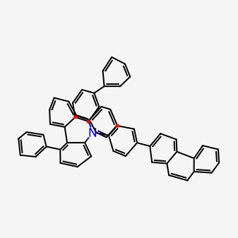 c1ccc(-c2cccc(N(c3ccc(-c4ccc5c(ccc6ccccc65)c4)cc3)c3cccc(-c4ccccc4)c3-c3ccccc3-c3ccccc3)c2)cc1